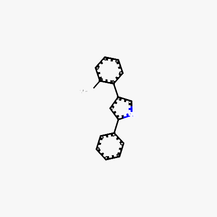 COc1ccccc1-c1c[nH]c(-c2ccccc2)c1